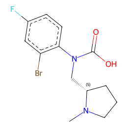 CN1CCC[C@H]1CN(C(=O)O)c1ccc(F)cc1Br